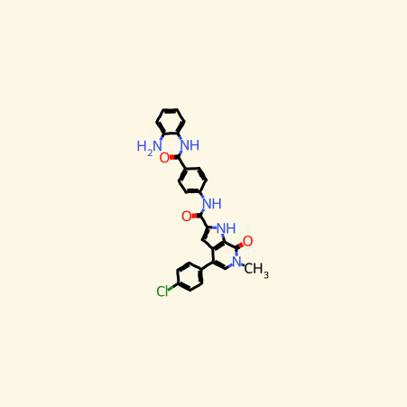 Cn1cc(-c2ccc(Cl)cc2)c2cc(C(=O)Nc3ccc(C(=O)Nc4ccccc4N)cc3)[nH]c2c1=O